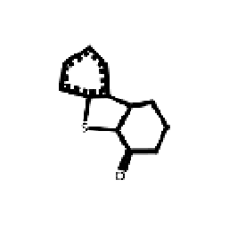 O=C1CCCC2c3ccccc3SC12